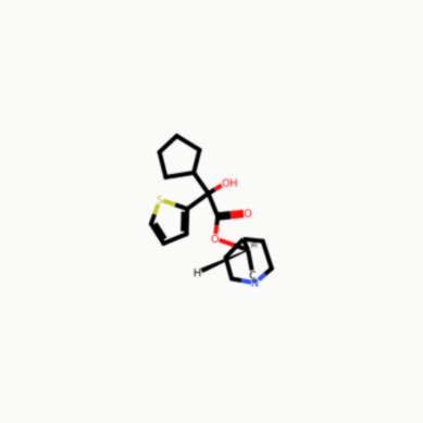 O=C(O[C@H]1CN2CCC1CC2)C(O)(c1cccs1)C1CCCC1